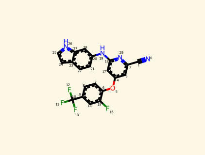 N#Cc1cc(Oc2ccc(C(F)(F)F)cc2F)cc(Nc2ccc3cc[nH]c3c2)n1